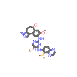 COc1cc2c(cc1Nc1ncc(Br)c(Nc3ccc4nccnc4c3P(C)C)n1)-c1cnn(C)c1CCC2O